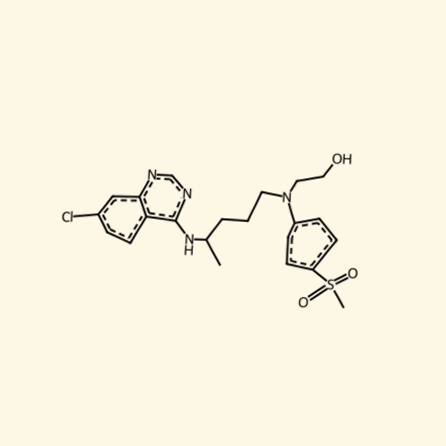 CC(CCCN(CCO)c1ccc(S(C)(=O)=O)cc1)Nc1ncnc2cc(Cl)ccc12